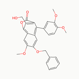 COc1ccc(-c2c3c(CO)c(c4cc(OC)c(OCc5ccccc5)cc24)OC3=O)cc1OC